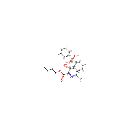 CCCCOC(=O)c1nc(Br)c2cccc(S(=O)(=O)c3ccccc3)c2c1O